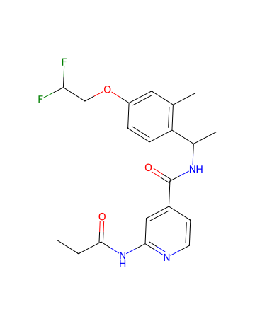 CCC(=O)Nc1cc(C(=O)NC(C)c2ccc(OCC(F)F)cc2C)ccn1